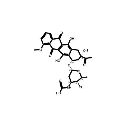 COc1cccc2c1C(=O)c1c(O)c3c(c(O)c1C2=O)C[C@@](O)(C(C)=O)C[C@@H]3O[C@H]1C[C@H](NC(=O)O)[C@@H](O)[C@H](C)O1